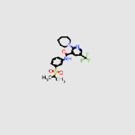 CC(C)S(=O)(=O)c1cccc(NC(=O)c2cc(C(F)(F)F)cnc2N2CCCCCC2)c1